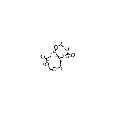 O=C1CC2(CCOCO1)COCOC(=O)C2